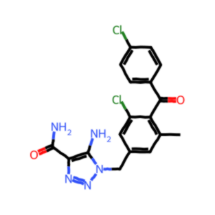 Cc1cc(Cn2nnc(C(N)=O)c2N)cc(Cl)c1C(=O)c1ccc(Cl)cc1